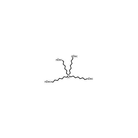 CCCCCCCCCCCCCCCCC[PH](CCCCCCCCCCCCCCCC)(CCCCCCCCCCCCCCCCC)CCCCCCCCCCCCCCCCC